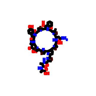 C=C(NC(=O)C(=C)NC(=O)c1csc(-c2ccc3c(n2)-c2csc(n2)-c2csc(n2)C(C(C)C(=O)CO)NC(=O)C(Cc2ccc(O)cc2)NC(=O)c2csc(n2)C(C(O)c2ccccc2)NC(=O)c2nc(sc2C)C(CC(N)=O)NC(O)c2csc-3n2)n1)C(=O)O